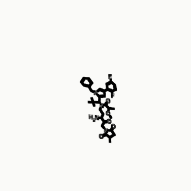 COC(C)C(=O)N(CCC(N)C(=O)CN1C(=O)CC(C)C1=O)C(c1cc(-c2cc(F)ccc2F)cn1Cc1ccccc1)C(C)(C)C